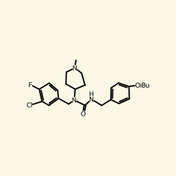 CC(C)COc1ccc(CNC(=O)N(Cc2ccc(F)c(Cl)c2)C2CCN(C)CC2)cc1